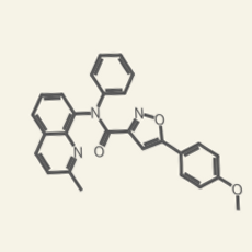 COc1ccc(-c2cc(C(=O)N(c3ccccc3)c3cccc4ccc(C)nc34)no2)cc1